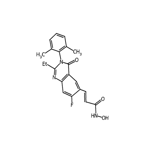 CCc1nc2cc(F)c(/C=C/C(=O)NO)cc2c(=O)n1-c1c(C)cccc1C